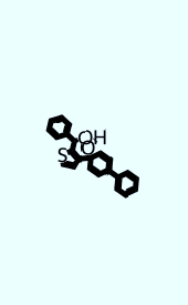 COC1(c2ccsc2C(O)c2ccccc2)C=CC(c2ccccc2)C=C1